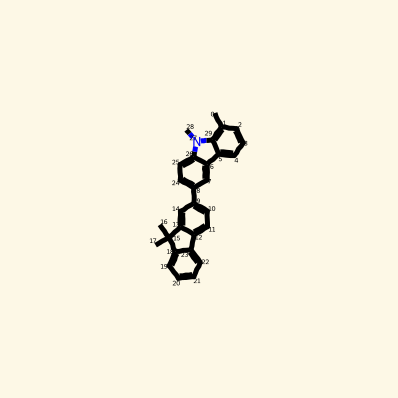 Cc1cccc2c3cc(-c4ccc5c(c4)C(C)(C)c4ccccc4-5)ccc3n(C)c12